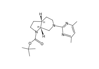 Cc1cc(C)nc(N2CC[C@H]3CCN(C(=O)OC(C)(C)C)[C@H]3C2)n1